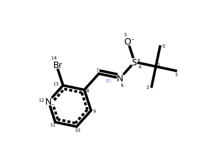 CC(C)(C)[S+]([O-])/N=C/c1cccnc1Br